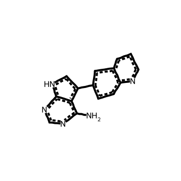 Nc1ncnc2[nH]cc(-c3ccc4ncccc4c3)c12